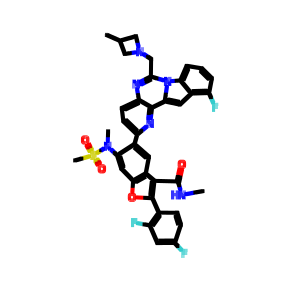 CNC(=O)c1c(-c2ccc(F)cc2F)oc2cc(N(C)S(C)(=O)=O)c(-c3ccc4nc(CN5CC(C)C5)n5c6cccc(F)c6cc5c4n3)cc12